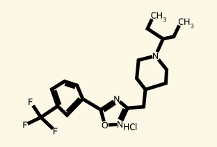 CCC(CC)N1CCC(Cc2noc(-c3cccc(C(F)(F)F)c3)n2)CC1.Cl